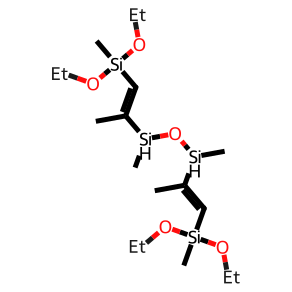 CCO[Si](C)(/C=C(\C)[SiH](C)O[SiH](C)/C(C)=C/[Si](C)(OCC)OCC)OCC